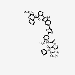 COC(=O)N[C@@H](C(=O)N1CCCC1c1nc2cc(-c3cnc(-c4ccc(C)c(NC(=O)[C@@H]5CCCN5C(=O)[C@@H](c5ccccc5)N(C)C(=O)O)c4)o3)ccc2[nH]1)c1ccccc1